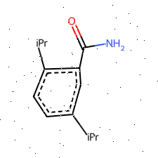 CC(C)c1ccc(C(C)C)c(C(N)=O)c1